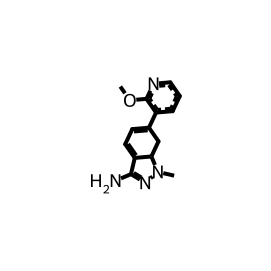 COc1ncccc1C1=CC=C2C(N)=NN(C)C2C1